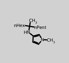 CCCCCCC(C)(CCCCC)Nc1ccn(C)c1